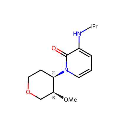 CO[C@H]1COCC[C@H]1n1cccc(NC(C)C)c1=O